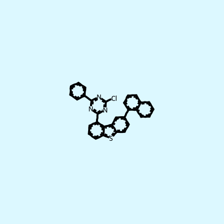 Clc1nc(-c2ccccc2)nc(-c2cccc3sc4ccc(-c5cccc6ccccc56)cc4c23)n1